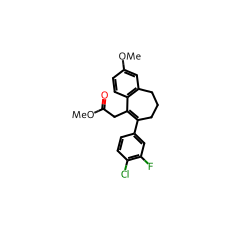 COC(=O)CC1=C(c2ccc(Cl)c(F)c2)CCCc2cc(OC)ccc21